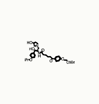 COCCOc1ccc(C(=O)CCCCC(=O)N[C@H](CN2CC[C@H](O)C2)[C@H](O)c2ccc(OC(C)C)cc2)cc1